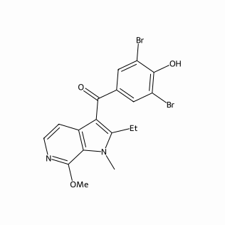 CCc1c(C(=O)c2cc(Br)c(O)c(Br)c2)c2ccnc(OC)c2n1C